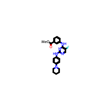 COC(=O)c1cccc(Nc2nc(Nc3ccc(N4CCCCC4)cc3)ncc2F)c1